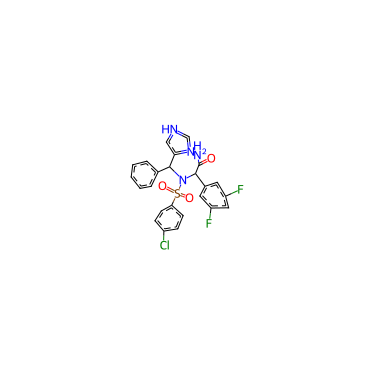 NC(=O)C(c1cc(F)cc(F)c1)N(C(c1ccccc1)c1c[nH]cn1)S(=O)(=O)c1ccc(Cl)cc1